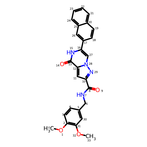 COc1ccc(CNC(=O)c2cc3c(=O)[nH]c(-c4ccc5ccccc5c4)cn3n2)cc1OC